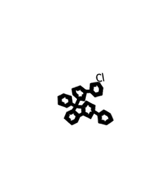 Clc1cccc(-c2cccc(C3(c4ccccc4)c4ccccc4-c4cc(-c5ccccc5)ccc43)c2)c1